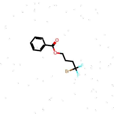 O=C(OCCCC(F)(F)Br)c1ccccc1